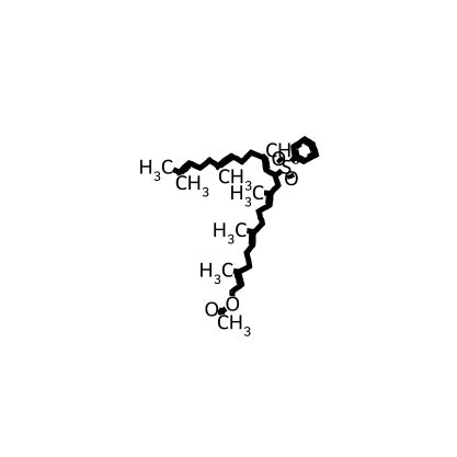 CC(=O)OC/C=C(\C)CC/C=C(\C)CC/C=C(\C)CC(/C=C(\C)CC/C=C(\C)CCC=C(C)C)S(=O)(=O)c1ccccc1